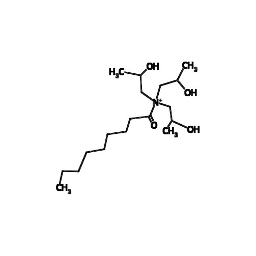 CCCCCCCCC(=O)[N+](CC(C)O)(CC(C)O)CC(C)O